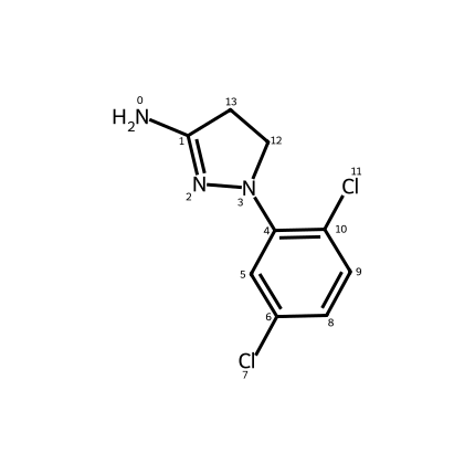 NC1=NN(c2cc(Cl)ccc2Cl)CC1